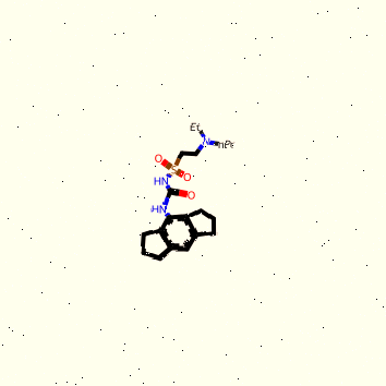 CCCN(CC)CCS(=O)(=O)NC(=O)Nc1c2c(cc3c1CCC3)CCC2